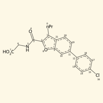 CCCc1c(C(=O)NCC(=O)O)oc2cc(-c3ccc(Cl)cc3)ccc12